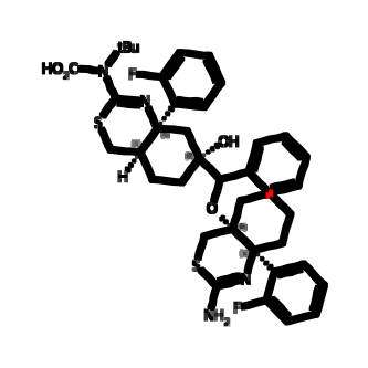 CC(C)(C)N(C(=O)O)C1=N[C@@]2(c3ccccc3F)C[C@@](O)(C(O[C@]34CCCC[C@@]3(c3ccccc3F)N=C(N)SC4)c3ccccc3)CC[C@H]2CS1